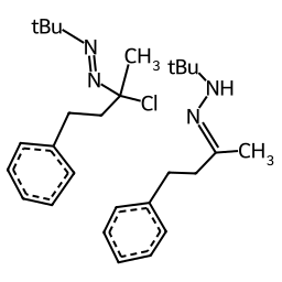 CC(C)(C)N=NC(C)(Cl)CCc1ccccc1.CC(CCc1ccccc1)=NNC(C)(C)C